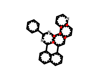 c1ccc(-c2nc(-c3ccccc3)nc(-c3cccc4cccc(-c5ccc(-c6cccnc6)cc5)c34)n2)cc1